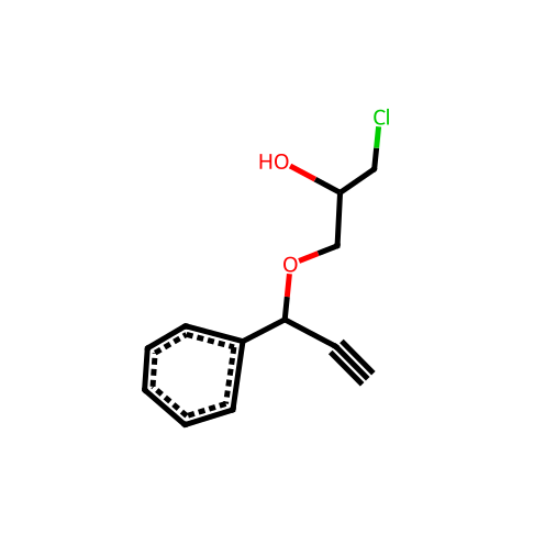 C#CC(OCC(O)CCl)c1ccccc1